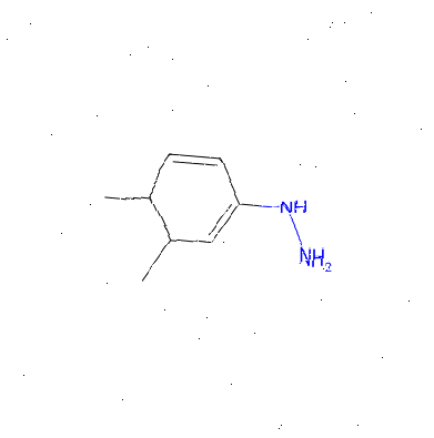 CC1C=CC(NN)=CC1C